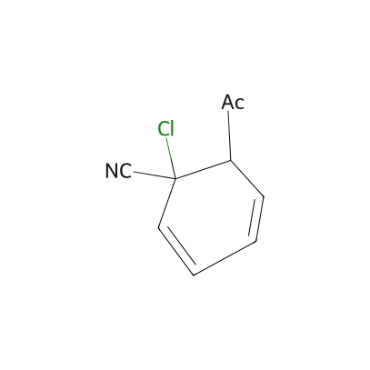 CC(=O)C1C=CC=CC1(Cl)C#N